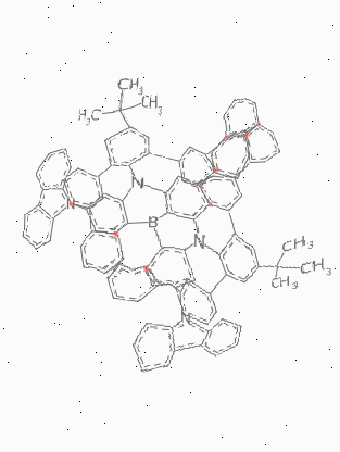 CC(C)(C)c1cc(-c2cccc(-c3ccccc3)c2)c(N2c3cc(-n4c5ccccc5c5ccccc54)ccc3B3c4ccc(-n5c6ccccc6c6ccccc65)cc4N(c4c(-c5cccc(-c6ccccc6)c5)cc(C(C)(C)C)cc4-c4cccc(-c5ccccc5)c4)c4cc(-c5ccccc5)cc2c43)c(-c2cccc(-c3ccccc3)c2)c1